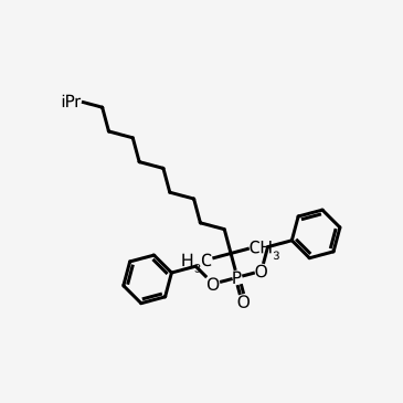 CC(C)CCCCCCCCCC(C)(C)P(=O)(OCc1ccccc1)OCc1ccccc1